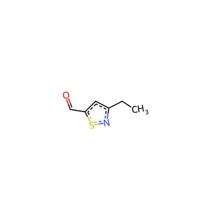 CCc1cc(C=O)sn1